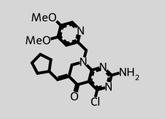 COc1cnc(CN2C/C(=C\C3CCCC3)C(=O)c3c(Cl)nc(N)nc32)cc1OC